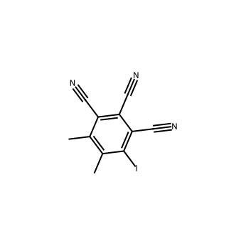 Cc1c(C)c(C#N)c(C#N)c(C#N)c1I